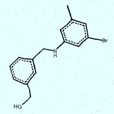 Cc1cc(Br)cc(NCc2cccc(CO)c2)c1